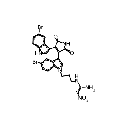 NC(=N[N+](=O)[O-])NCCCn1cc(C2=C(c3c[nH]c4ccc(Br)cc34)C(=O)NC2=O)c2cc(Br)ccc21